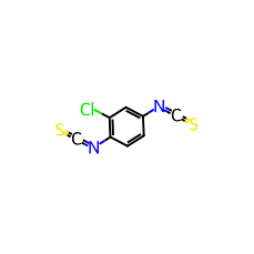 S=C=Nc1ccc(N=C=S)c(Cl)c1